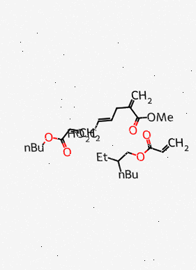 C=C(CC=CC(=O)O)C(=O)OC.C=CC(=O)OCC(CC)CCCC.C=CC(=O)OCCCC